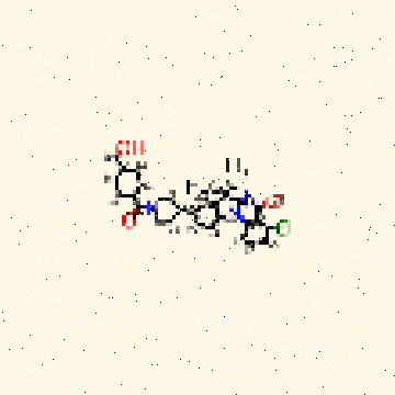 CC1(C)c2cc(C3CCN(C(=O)C4CCC(CO)CC4)CC3)ccc2-n2c1nc(=O)c1c(Cl)cccc12